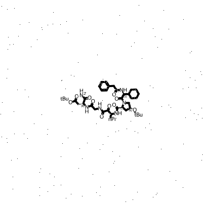 CCCC(NC(=O)[C@@H]1C[C@@H](OC(C)(C)C)CN1C(=O)[C@@H](NC(=O)Cc1ccccc1)C1CCCCC1)C(=O)C(=O)NCC(=O)N[C@H](CC(=O)OC(C)(C)C)C(N)=O